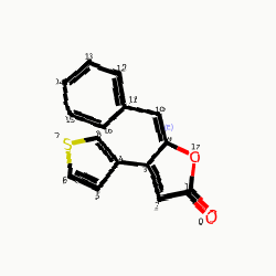 O=C1C=C(c2ccsc2)/C(=C\c2ccccc2)O1